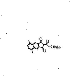 COCC(=O)C1C(=O)c2cc3c(C)ccc(C)c3cc2C1=O